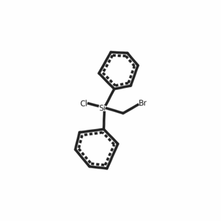 Cl[Si](CBr)(c1ccccc1)c1ccccc1